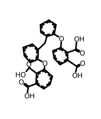 O=C(O)c1cccc(Oc2ccccc2Cc2ccccc2Oc2cccc(C(=O)O)c2C(=O)O)c1C(=O)O